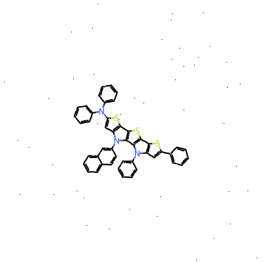 c1ccc(-c2cc3c(s2)c2sc4c5sc(N(c6ccccc6)c6ccccc6)cc5n(-c5ccc6ccccc6c5)c4c2n3-c2ccccc2)cc1